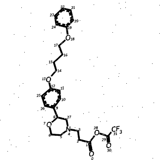 O=C(CCN1CCOC(c2ccc(OCCCCOc3ccccc3)cc2)C1)OC(=O)C(F)(F)F